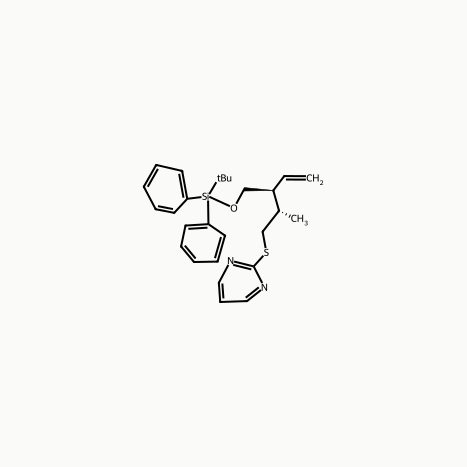 C=C[C@H](CO[Si](c1ccccc1)(c1ccccc1)C(C)(C)C)[C@H](C)CSc1ncccn1